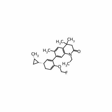 CCN1C(=O)CC(C)(C)c2cc(C)c(C3=C[C@@H](C4C[C@@H]4C)CC=C3OCF)cc21